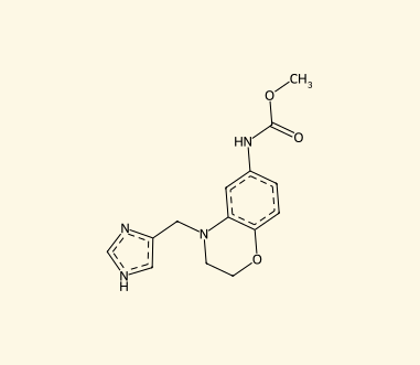 COC(=O)Nc1ccc2c(c1)N(Cc1c[nH]cn1)CCO2